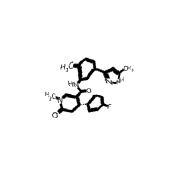 Cc1cc(-c2ccc(C)c(NC(=O)C3=CN(C)C(=O)C[C@H]3c3ccc(F)cc3)c2)n[nH]1